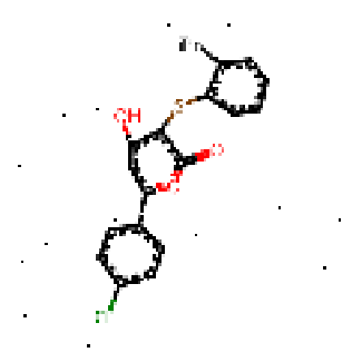 CC(C)c1ccccc1Sc1c(O)cc(-c2ccc(Cl)cc2)oc1=O